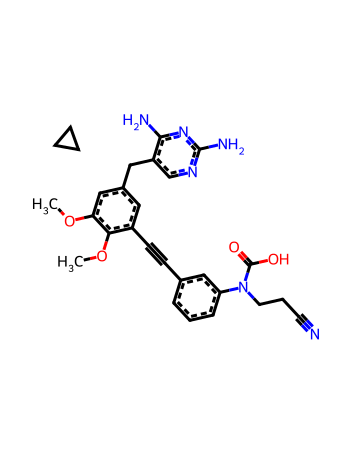 C1CC1.COc1cc(Cc2cnc(N)nc2N)cc(C#Cc2cccc(N(CCC#N)C(=O)O)c2)c1OC